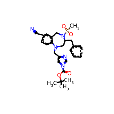 CC(C)(C)OC(=O)n1cnc(CN2CC(Cc3ccccc3)N(S(C)(=O)=O)Cc3cc(C#N)ccc32)c1